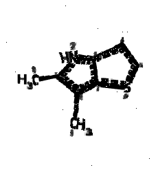 Cc1[nH]c2ccsc2c1C